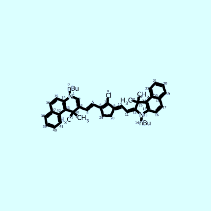 CCCCN1C=C(/C=C/C2=C(Cl)C(=C/C=C3/N(CCCC)c4ccc5ccccc5c4C3(C)C)/CC2)C(C)(C)c2c1ccc1ccccc21